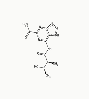 C[C@@H](O)[C@H](N)C(=O)Nc1nc(C(N)=O)nc2nc[nH]c12